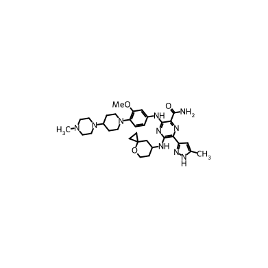 COc1cc(Nc2nc(NC3CCOC4(CC4)C3)c(-c3cc(C)[nH]n3)nc2C(N)=O)ccc1N1CCC(N2CCN(C)CC2)CC1